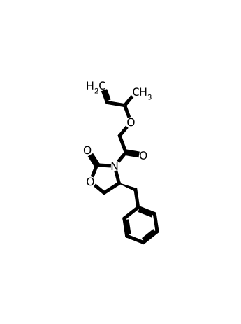 C=CC(C)OCC(=O)N1C(=O)OC[C@@H]1Cc1ccccc1